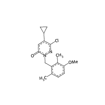 COc1ccc(C)c(Cn2nc(Cl)c(C3CC3)cc2=O)c1C